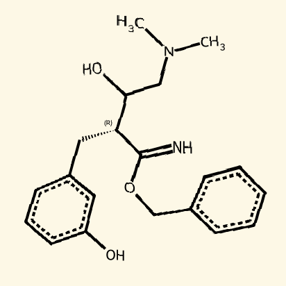 CN(C)CC(O)[C@@H](Cc1cccc(O)c1)C(=N)OCc1ccccc1